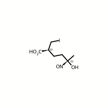 C[C@](O)(CC[C@H](CI)C(=O)O)N=O